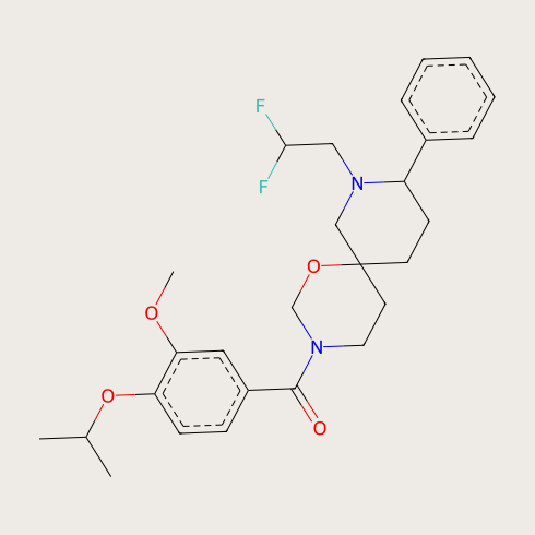 COc1cc(C(=O)N2CCC3(CCC(c4ccccc4)N(CC(F)F)C3)OC2)ccc1OC(C)C